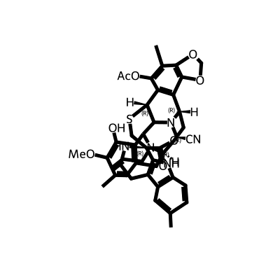 C=CCN1C2c3c(cc(C)c(OC)c3O)C[C@@H]1[C@H](C#N)N1C2[C@@H]2SC[C@]3(NCCc4c3[nH]c3ccc(C)cc43)C(=O)OC[C@H]1c1c3c(c(C)c(OC(C)=O)c12)OCO3